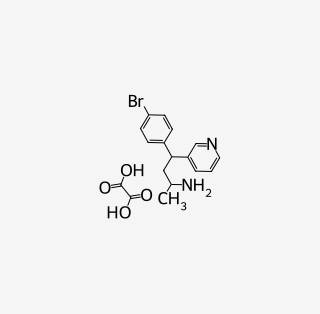 CC(N)CC(c1ccc(Br)cc1)c1cccnc1.O=C(O)C(=O)O